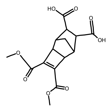 COC(=O)C1=C(C(=O)OC)C2C3CC(C(C(=O)O)C3C(=O)O)C12